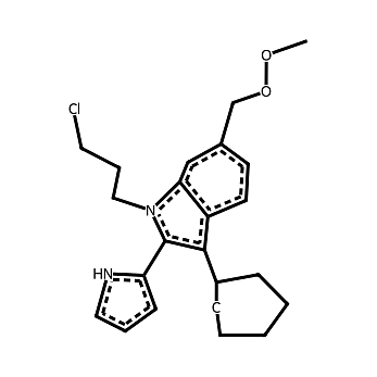 COOCc1ccc2c(C3CCCCC3)c(-c3ccc[nH]3)n(CCCCl)c2c1